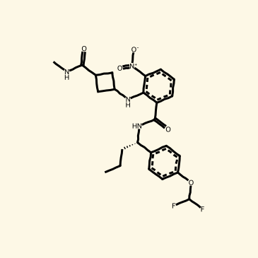 CCC[C@H](NC(=O)c1cccc([N+](=O)[O-])c1NC1CC(C(=O)NC)C1)c1ccc(OC(F)F)cc1